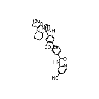 CCOC(=O)c1cc(C2([C@@H]3CCCCN3C(=O)OC(C)(C)C)NC=CN2)ccc1-c1ccc(C(=O)Nc2cc(C#N)ccn2)cc1